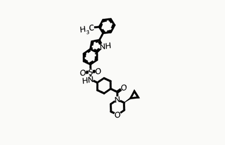 Cc1ccccc1-c1cc2ccc(S(=O)(=O)NC3CCC(C(=O)N4CCOC[C@@H]4C4CC4)CC3)cc2[nH]1